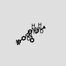 Cn1cc(-c2ccc(/[N+](=C/C3CCC(Nc4nccc(NC(=O)C5CC5)n4)CC3)C(=O)NCc3ccccc3)cc2)cn1